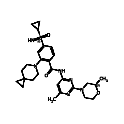 Cc1cc(NC(=O)c2ccc([S@](=N)(=O)C3CC3)cc2N2CCC3(CC2)CC3)nc(N2CCO[C@H](C)C2)n1